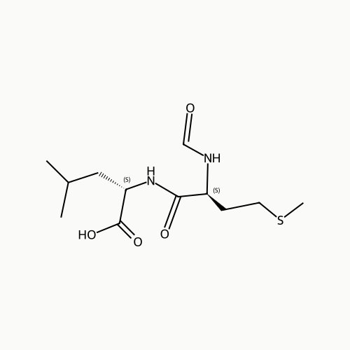 CSCC[C@H](NC=O)C(=O)N[C@@H](CC(C)C)C(=O)O